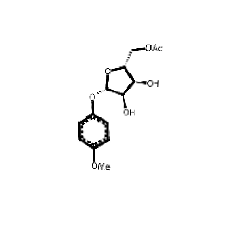 COc1ccc(O[C@@H]2O[C@H](COC(C)=O)[C@@H](O)[C@H]2O)cc1